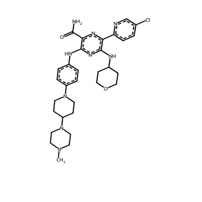 CN1CCN(C2CCN(c3ccc(Nc4nc(NC5CCOCC5)c(-c5ccc(Cl)cn5)nc4C(N)=O)cc3)CC2)CC1